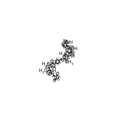 CC(C)[C@H](NC(=O)CCN1C(=O)C=CC1=O)C(=O)N[C@@H](C)C(=O)Nc1ccc(COC(=O)N(C)CC(=O)N[C@@H]2[C@@H](O)[C@H](O)[C@@H](Nc3ncnc4nc[nH]c34)O[C@H]2C)cc1